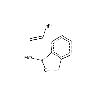 C=CCCC.OB1OCc2ccccc21